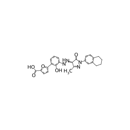 CC1=NN(c2ccc3c(c2)CCCC3)C(=O)/C1=N/Nc1cccc(-c2ccc(C(=O)O)o2)c1O